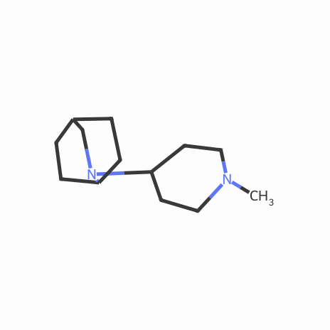 CN1CCC(N2CC3CCC2CC3)CC1